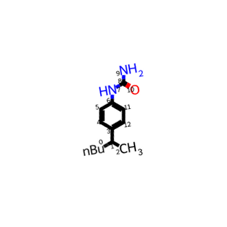 CCCCC(C)c1ccc(NC(N)=O)cc1